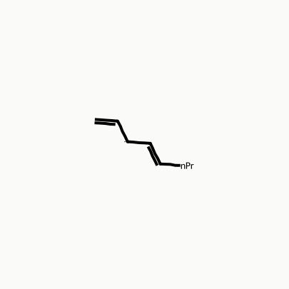 C=C[CH]C=CCCC